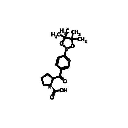 CC1(C)OB(c2ccc(C(=O)C3CCC[C@H]3C(=O)O)cc2)OC1(C)C